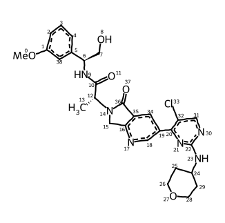 COc1cccc([C@@H](CO)NC(=O)[C@@H](C)N2Cc3ncc(-c4nc(NC5CCOCC5)ncc4Cl)cc3C2=O)c1